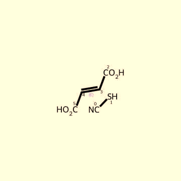 N#CS.O=C(O)/C=C/C(=O)O